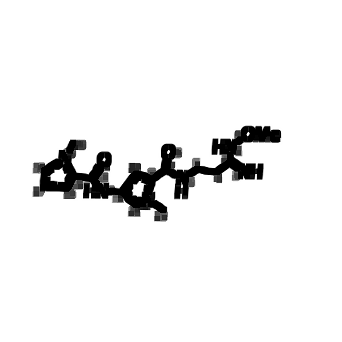 CONC(=N)CCNC(=O)c1cc(NC(=O)c2cccn2C)cn1C